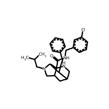 CC(C)CN1CC2CC3CNC2(C(=O)NCc2cccc(Cl)c2)C1C3Cc1ccccc1